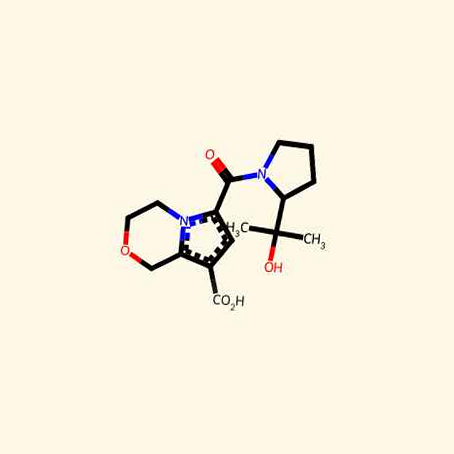 CC(C)(O)C1CCCN1C(=O)c1cc(C(=O)O)c2n1CCOC2